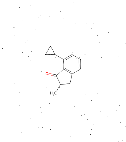 CC1Cc2cccc(C3CC3)c2C1=O